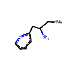 CNCC(N)Cc1ccccn1